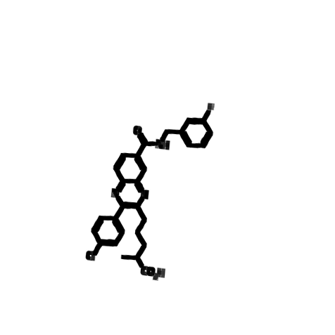 CC(CCCc1nc2cc(C(=O)NCc3cccc(F)c3)ccc2nc1-c1ccc(Cl)cc1)C(=O)O